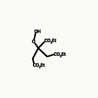 CCOC(=O)CC(CC(=O)OCC)(OO)C(=O)OCC